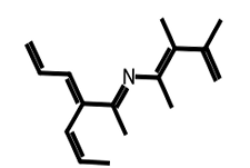 C=C/C=C(\C=C/C)C(/C)=N/C(C)=C(\C)C(=C)C